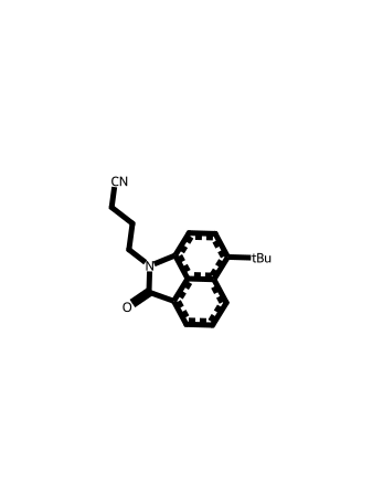 CC(C)(C)c1ccc2c3c(cccc13)C(=O)N2CCCC#N